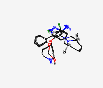 COCOc1ccccc1-c1cc(N2C[C@H]3CC[C@@H](C2)N3c2cc(F)c(F)c(OC3CCNCC3)c2)c(N)nn1